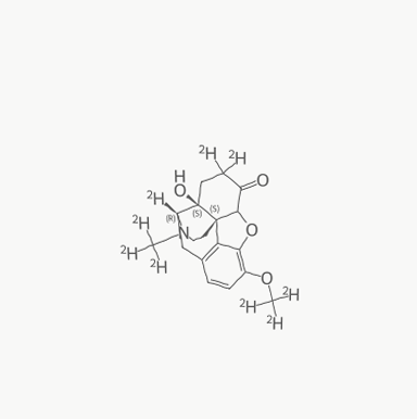 [2H]C([2H])([2H])Oc1ccc2c3c1OC1C(=O)C([2H])([2H])C[C@]4(O)[C@@]31CCN(C([2H])([2H])[2H])[C@]4([2H])C2